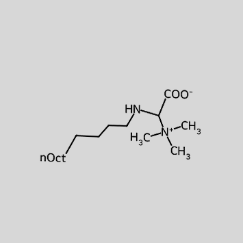 CCCCCCCCCCCCNC(C(=O)[O-])[N+](C)(C)C